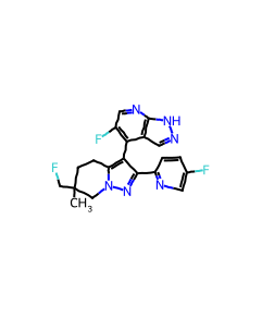 CC1(CF)CCc2c(-c3c(F)cnc4[nH]ncc34)c(-c3ccc(F)cn3)nn2C1